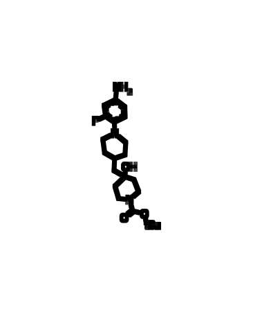 CC(C)(C)OC(=O)N1CCC(O)(CC2CCN(c3ccc(N)cc3F)CC2)CC1